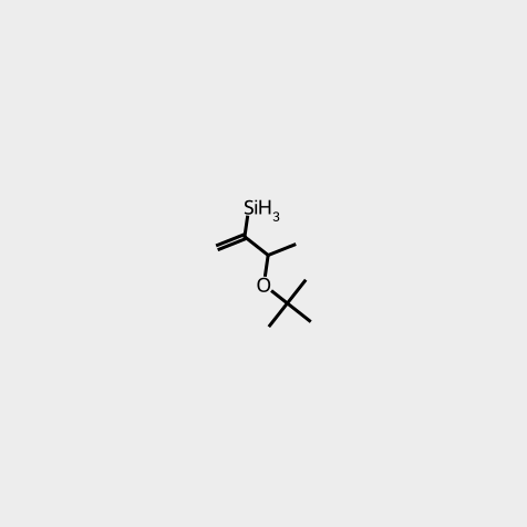 C=C([SiH3])C(C)OC(C)(C)C